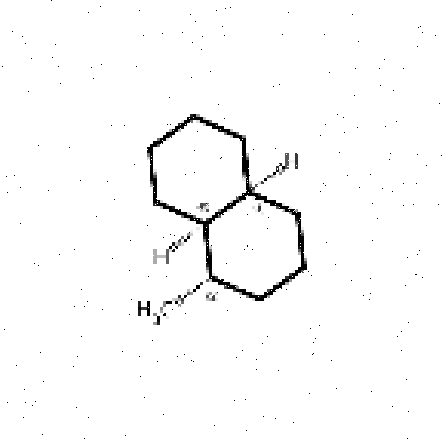 C[C@H]1CCC[C@@H]2CCCC[C@@H]21